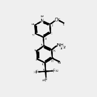 COc1cc(-c2ccc(C(F)(F)F)c(C)c2N)ccn1